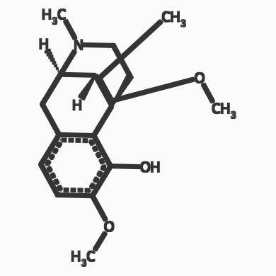 COc1ccc2c(c1O)[C@]13CCN(C)[C@H](C2)[C@@H]1CC(C)C(OC)C3